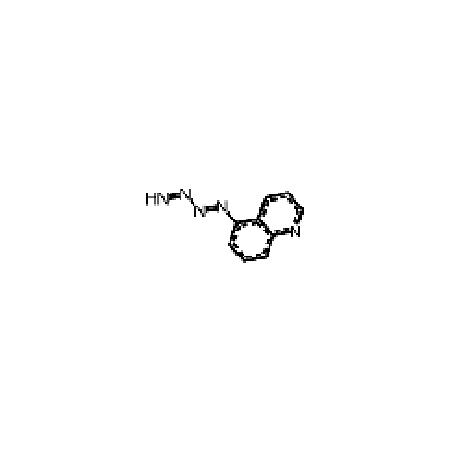 N=NN=Nc1cccc2ncccc12